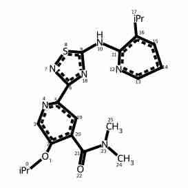 CC(C)Oc1cnc(-c2nsc(Nc3ncccc3C(C)C)n2)cc1C(=O)N(C)C